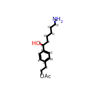 CC(=O)OCCc1ccc(C(O)CCCCCN)cc1